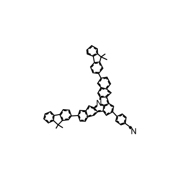 CC1(C)c2ccccc2-c2ccc(-c3ccc4cc5c6cc(-c7ccc(C#N)cc7)cc7c8cc9ccc(-c%10ccc%11c(c%10)C(C)(C)c%10ccccc%10-%11)cc9cc8n(c5cc4c3)c67)cc21